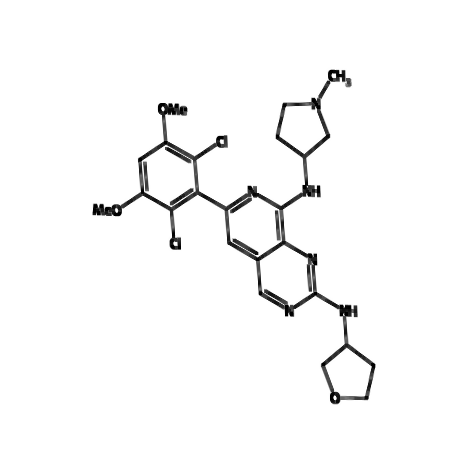 COc1cc(OC)c(Cl)c(-c2cc3cnc(NC4CCOC4)nc3c(NC3CCN(C)C3)n2)c1Cl